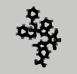 Cn1cc(C2=C(c3cn(P(=O)(OCc4ccccc4)OCc4ccccc4)c4ccccc34)C(=O)NC2=O)c2ccc([N+](=O)[O-])cc21